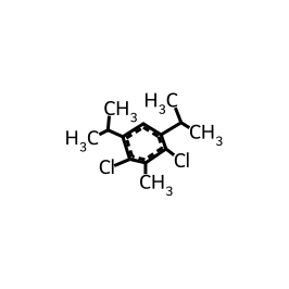 Cc1c(Cl)c(C(C)C)cc(C(C)C)c1Cl